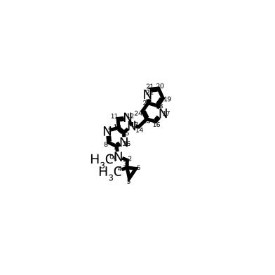 CN(CC1(C)CC1)c1cnc2cnn(Cc3cnc4cccnc4c3)c2n1